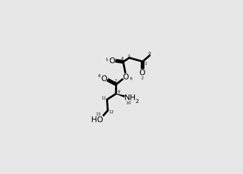 CC(=O)CC(=O)OC(=O)[C@@H](N)CCO